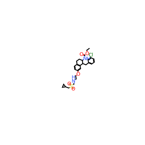 CCOC(=O)NC1CCc2ccc(OCCNCS(=O)(=O)CC3CC3)cc2C1Cc1cccc(Cl)c1